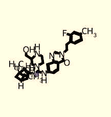 Cc1ccc(CCn2cnc3cc(N/C(=N/[C@H]4C[C@@H]5C[C@H]([C@@H]4C)C5(C)C)N4CCNC(CO)C4)ccc3c2=O)c(F)c1